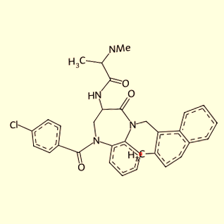 CNC(C)C(=O)NC1CN(C(=O)c2ccc(Cl)cc2)c2ccccc2N(Cc2c(C)ccc3ccccc23)C1=O